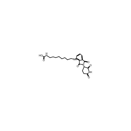 O=C(O)NCCCCCCCCNc1cccc2c1C(=O)N(C1CCC(=O)NC1=O)C2=O